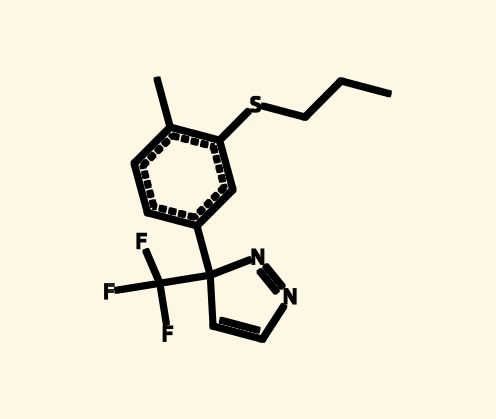 CCCSc1cc(C2(C(F)(F)F)C=CN=N2)ccc1C